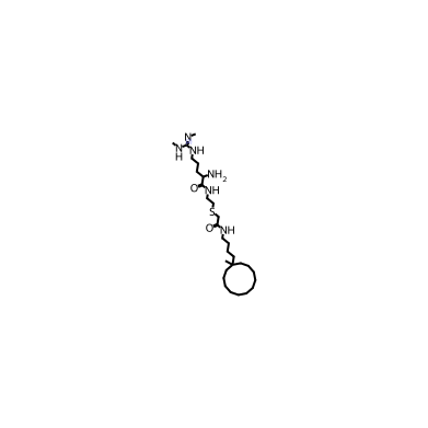 C/N=C(/NC)NCCCC(N)C(=O)NCCSCC(=O)NCCCCC1(C)CCCCCCCCCCC1